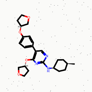 C[C@H]1CC[C@@H](Nc2ncc(-c3ccc(O[C@H]4CCOC4)cc3)c(O[C@@H]3CCOC3)n2)CC1